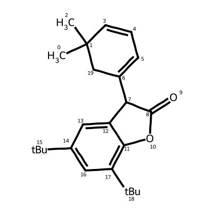 CC1(C)C=CC=C(C2C(=O)Oc3c2cc(C(C)(C)C)cc3C(C)(C)C)C1